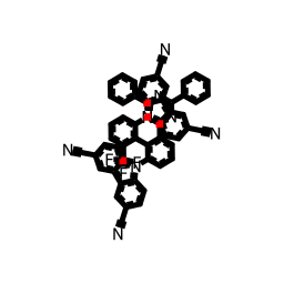 N#Cc1ccc2c(c1)c1cc(C#N)ccc1n2-c1cccc(-c2nc(-c3ccccc3)nc(-c3ccccc3)n2)c1-c1c(-n2c3ccc(C#N)cc3c3cc(C#N)ccc32)cccc1C(F)(F)F